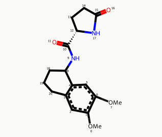 COc1cc2c(cc1OC)C(NC(=O)[C@@H]1CCC(=O)N1)CCC2